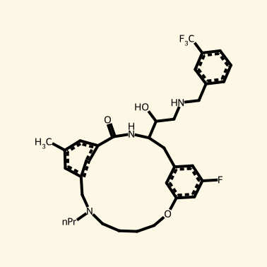 CCCN1CCCCOc2cc(F)cc(c2)CC(C(O)CNCc2cccc(C(F)(F)F)c2)NC(=O)c2cc(C)cc(c2)C1